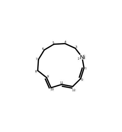 C1=[CH]\[Ni][CH2]CCCCC/C=C/C=C/1